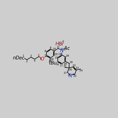 Br.CCCCCCCCCCCCCCOc1ccc(CN(C(C)=O)c2cccc(CC3(C)C=C(C)C=NC3)c2)cc1C(C)(C)C